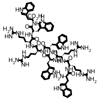 N=C(N)NCCC[C@H](NC(=O)[C@H](CCCNC(=N)N)NC(=O)[C@H](Cc1c[nH]c2ccccc12)NC(=O)[C@H](Cc1c[nH]c2ccccc12)NC(=O)[C@H](CCCNC(=N)N)NC(=O)[C@H](CCCNC(=N)N)NC(=O)[C@@H](N)Cc1c[nH]c2ccccc12)C(=O)N[C@@H](Cc1c[nH]c2ccccc12)C(=O)N[C@@H](Cc1c[nH]c2ccccc12)C(=O)O